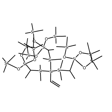 C=C[Si]([Si](C)(C)C(C)[Si](O[Si](C)(C)C)(O[Si](C)(C)C)O[Si](C)(C)C)([Si](C)(C)C(C)[Si](O[Si](C)(C)C)(O[Si](C)(C)C)O[Si](C)(C)C)[Si](C)(C)C(C)[Si](O[Si](C)(C)C)(O[Si](C)(C)C)O[Si](C)(C)C